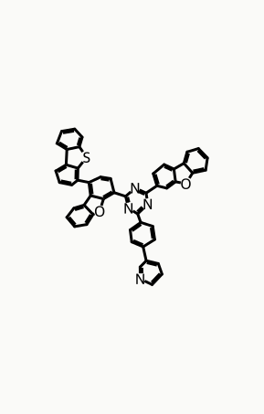 c1cncc(-c2ccc(-c3nc(-c4ccc5c(c4)oc4ccccc45)nc(-c4ccc(-c5cccc6c5sc5ccccc56)c5c4oc4ccccc45)n3)cc2)c1